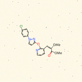 COC(=O)/C(=C\c1cccnc1Oc1ccn(-c2ccc(Cl)cc2)n1)OC